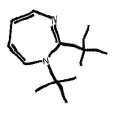 CC(C)(C)C1=NC=CC=CN1C(C)(C)C